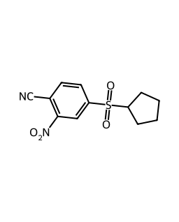 N#Cc1ccc(S(=O)(=O)C2CCCC2)cc1[N+](=O)[O-]